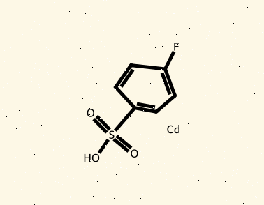 O=S(=O)(O)c1ccc(F)cc1.[Cd]